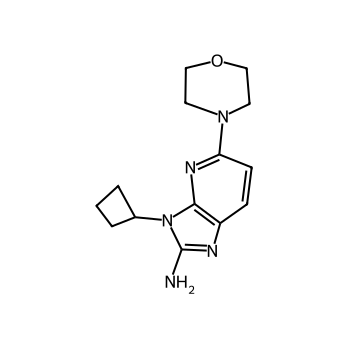 Nc1nc2ccc(N3CCOCC3)nc2n1C1CCC1